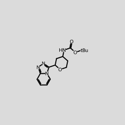 CC(C)(C)OC(=O)NC1CCOC(c2nnc3ccccn23)C1